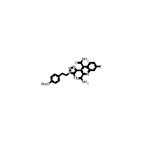 CCc1c(-c2c(C(N)=O)nc3cc(F)ccc3c2C(N)=O)nnn1CCc1ccc(OC)cc1